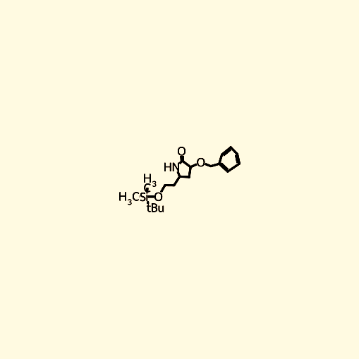 CC(C)(C)[Si](C)(C)OCCC1CC(OCc2ccccc2)C(=O)N1